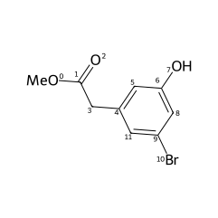 COC(=O)Cc1cc(O)cc(Br)c1